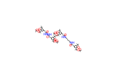 CC(C)(C)OC(=O)Oc1c(C(C)(C)C)cc(CCC(=O)NCCCCCCNC(=O)CCc2cc(C(C)(C)C)c(OC(=O)OC(C)(C)C)c(C(C)(C)CCC(C)(C)c3cc(CCC(=O)NNC(=O)CCc4cc(C(C)(C)C)c(OC(=O)OC(C)(C)C)c(C(C)(C)C)c4)cc(C(C)(C)C)c3OC(=O)OC(C)(C)C)c2)cc1C(C)(C)C